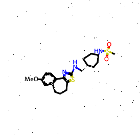 COc1ccc2c(c1)CCCc1sc(NC[C@H]3CC[C@H](NS(C)(=O)=O)CC3)nc1-2